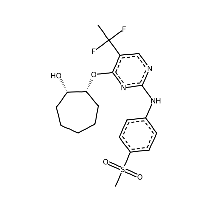 CC(F)(F)c1cnc(Nc2ccc(S(C)(=O)=O)cc2)nc1O[C@@H]1CCCCC[C@@H]1O